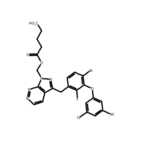 [C-]#[N+]c1cc(Cl)cc(Oc2c(Br)ccc(Cc3nn(COC(=O)CCCC(=O)O)c4nnccc34)c2F)c1